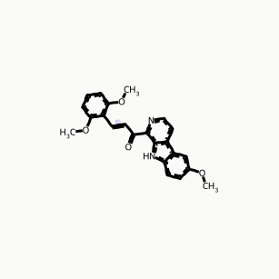 COc1ccc2[nH]c3c(C(=O)/C=C/c4c(OC)cccc4OC)nccc3c2c1